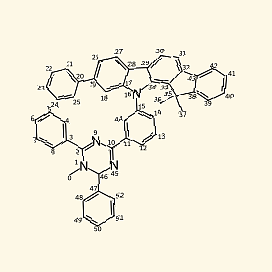 CN1C(c2ccccc2)=NC(c2cccc(-n3c4cc(-c5ccccc5)ccc4c4ccc5c(c43)C(C)(C)c3ccccc3-5)c2)=NC1c1ccccc1